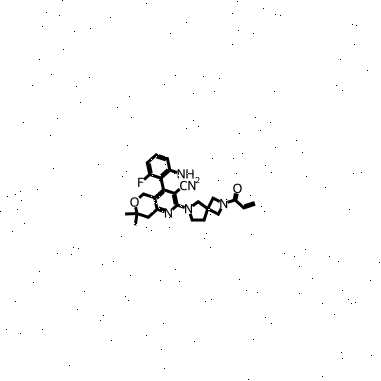 C=CC(=O)N1CC2(CCN(c3nc4c(c(-c5c(N)cccc5F)c3C#N)COC(C)(C)C4)C2)C1